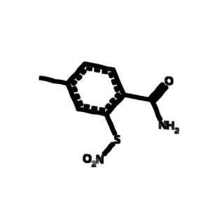 Cc1ccc(C(N)=O)c(S[N+](=O)[O-])c1